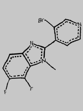 Cn1c(-c2ccncc2Br)nc2ccc(F)c(F)c21